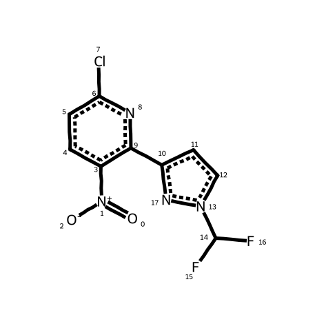 O=[N+]([O-])c1ccc(Cl)nc1-c1ccn(C(F)F)n1